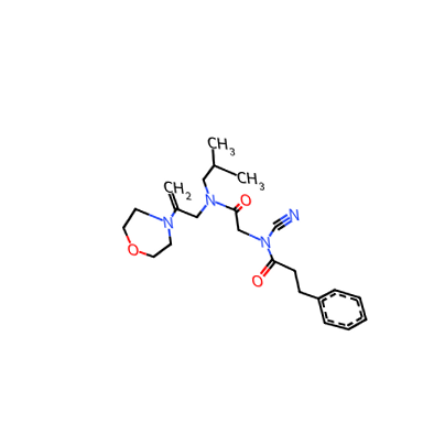 C=C(CN(CC(C)C)C(=O)CN(C#N)C(=O)CCc1ccccc1)N1CCOCC1